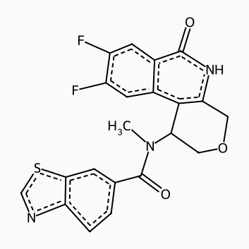 CN(C(=O)c1ccc2ncsc2c1)C1COCc2[nH]c(=O)c3cc(F)c(F)cc3c21